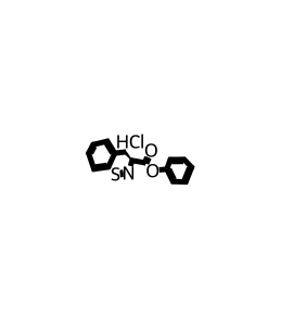 Cl.O=C(Oc1ccccc1)[C@H](Cc1ccccc1)N=S